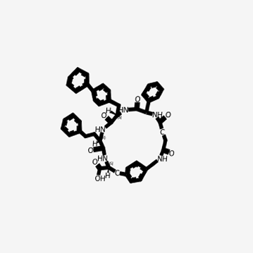 O=C1CCC(=O)NC(c2ccccc2)C(=O)N[C@@H](Cc2ccc(-c3ccccc3)cc2)C(=O)N[C@H](CCc2ccccc2)C(=O)N[C@H](C(=O)O)Cc2ccc(cc2)N1